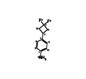 Nc1ccc(C2CC(F)(F)C2)cc1